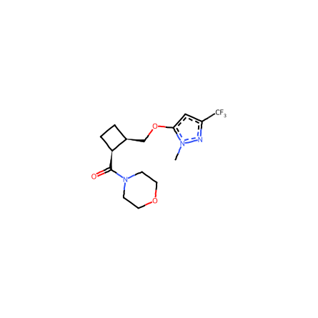 Cn1nc(C(F)(F)F)cc1OC[C@@H]1CC[C@@H]1C(=O)N1CCOCC1